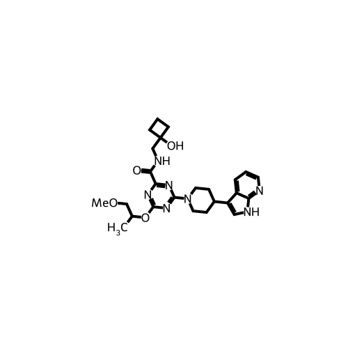 COCC(C)Oc1nc(C(=O)NCC2(O)CCC2)nc(N2CCC(c3c[nH]c4ncccc34)CC2)n1